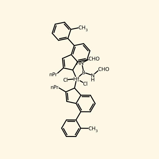 CCCC1=Cc2c(-c3ccccc3C)cccc2[CH]1[Hf]([Cl])([Cl])([B](NC=O)NC=O)[CH]1C(CCC)=Cc2c(-c3ccccc3C)cccc21